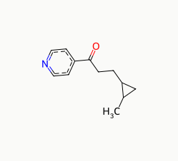 CC1CC1CCC(=O)c1ccncc1